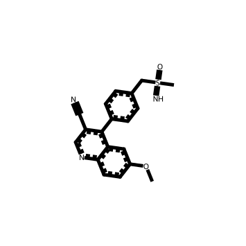 COc1ccc2ncc(C#N)c(-c3ccc(CS(C)(=N)=O)cc3)c2c1